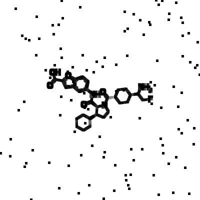 NC(CF)[C@H]1CC[C@H](C(=O)N2CC[C@@H](C3CCCCC3)[C@H]2C(=O)Nc2ccc3oc(C(=O)O)cc3c2)CC1